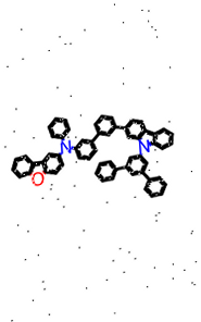 c1ccc(-c2cc(-c3ccccc3)cc(-n3c4ccccc4c4ccc(-c5cccc(-c6cccc(N(c7ccccc7)c7ccc8oc9ccccc9c8c7)c6)c5)cc43)c2)cc1